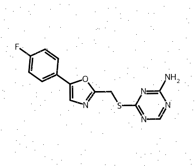 Nc1ncnc(SCc2ncc(-c3ccc(F)cc3)o2)n1